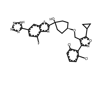 O[C@]1(c2nc3c(F)cc(-c4nnn[nH]4)cc3s2)CC[C@H](OCc2c(-c3c(Cl)cccc3Cl)noc2C2CC2)CC1